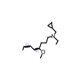 C/C=C\C=C(/CCCN(CC)CC1CC1)OC